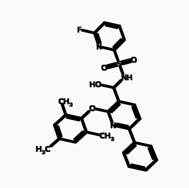 Cc1cc(C)c(Oc2nc(-c3ccccc3)ccc2C(O)NS(=O)(=O)c2cccc(F)n2)c(C)c1